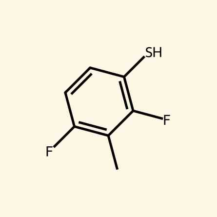 Cc1c(F)ccc(S)c1F